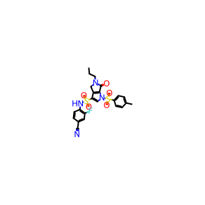 CCCN1Cc2c(S(=O)(=O)Nc3ccc(C#N)cc3F)cn(S(=O)(=O)c3ccc(C)cc3)c2C1=O